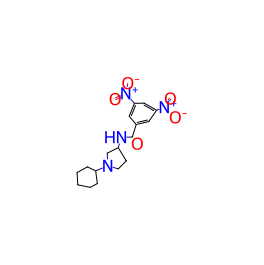 O=C(NC1CCN(C2CCCCC2)C1)c1cc([N+](=O)[O-])cc([N+](=O)[O-])c1